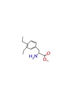 CCc1ccc(CC(N)C(=O)OC)cc1CC